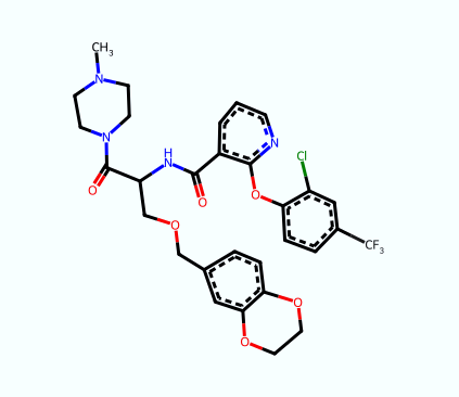 CN1CCN(C(=O)C(COCc2ccc3c(c2)OCCO3)NC(=O)c2cccnc2Oc2ccc(C(F)(F)F)cc2Cl)CC1